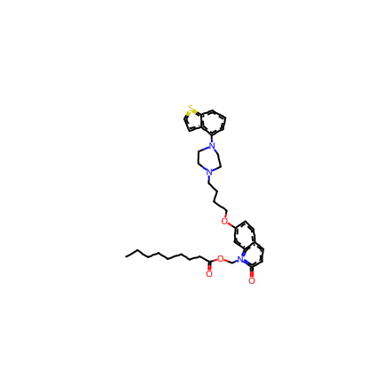 CCCCCCCCC(=O)OCn1c(=O)ccc2ccc(OCCCCN3CCN(c4cccc5sccc45)CC3)cc21